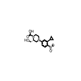 O=C(O)N1CCN(c2ccc([N+](=O)[O-])c(C3CC3)c2)C[C@@H]1CO